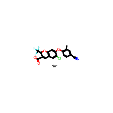 Cc1cc(C#N)ccc1Oc1cc2c(cc1Cl)C=C(C(=O)[O-])C(C(F)(F)F)O2.[Na+]